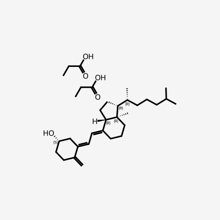 C=C1CC[C@H](O)CC1=CC=C1CCC[C@]2(C)[C@@H]([C@H](C)CCCC(C)C)CC[C@@H]12.CCC(=O)O.CCC(=O)O